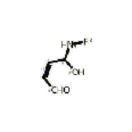 O=C/C=C\C(O)NF